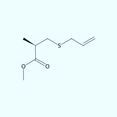 C=CCSC[C@H](C)C(=O)OC